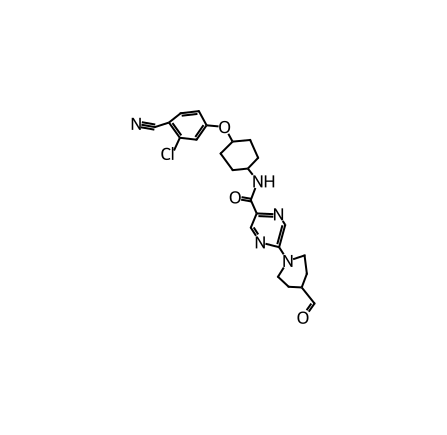 N#Cc1ccc(OC2CCC(NC(=O)c3cnc(N4CCC(C=O)CC4)cn3)CC2)cc1Cl